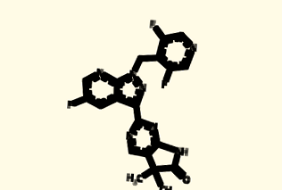 CC1(C)C(=O)Nc2nc(-c3nn(Cc4c(F)cncc4F)c4ncc(F)cc34)ncc21